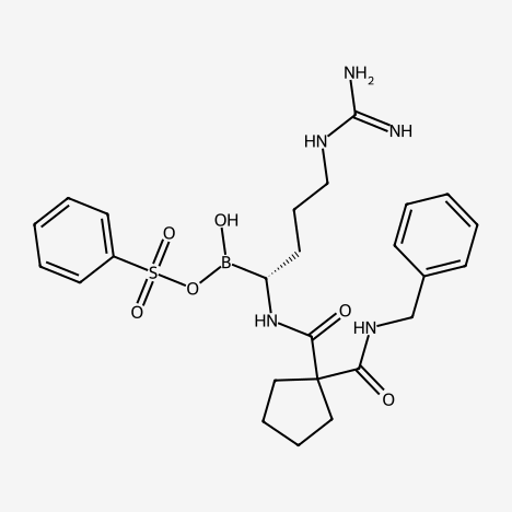 N=C(N)NCCC[C@H](NC(=O)C1(C(=O)NCc2ccccc2)CCCC1)B(O)OS(=O)(=O)c1ccccc1